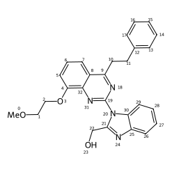 COCCOc1cccc2c(CCc3ccccc3)nc(-n3c(CO)nc4ccccc43)nc12